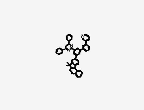 CC1(C)c2cc(-c3cc(-c4cccc(-c5cccnc5)c4)cc(-c4nc(-c5ccccc5)cc(-c5ccccc5)n4)c3)ccc2-c2c1ccc1ccccc21